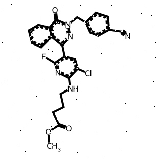 COC(=O)CCCNc1nc(F)c(-c2nn(Cc3ccc(C#N)cc3)c(=O)c3ccccc23)cc1Cl